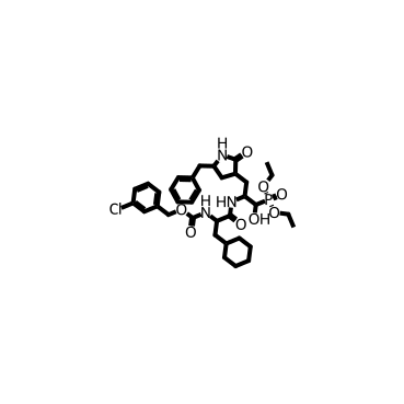 CCOP(=O)(OCC)C(O)C(CC1CC(Cc2ccccc2)NC1=O)NC(=O)C(CC1CCCCC1)NC(=O)OCc1cccc(Cl)c1